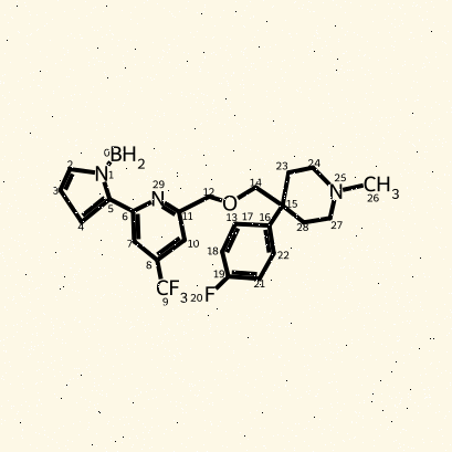 Bn1cccc1-c1cc(C(F)(F)F)cc(COCC2(c3ccc(F)cc3)CCN(C)CC2)n1